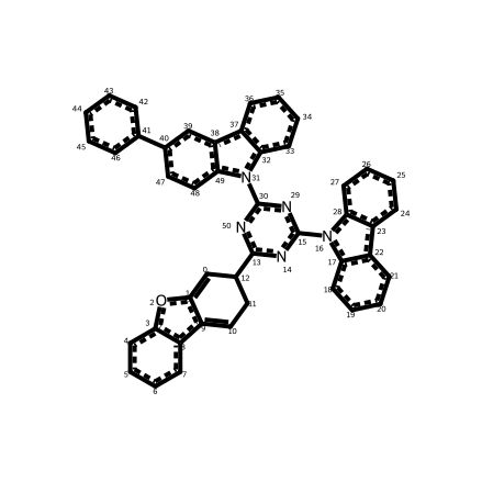 C1=c2oc3ccccc3c2=CCC1c1nc(-n2c3ccccc3c3ccccc32)nc(-n2c3ccccc3c3cc(-c4ccccc4)ccc32)n1